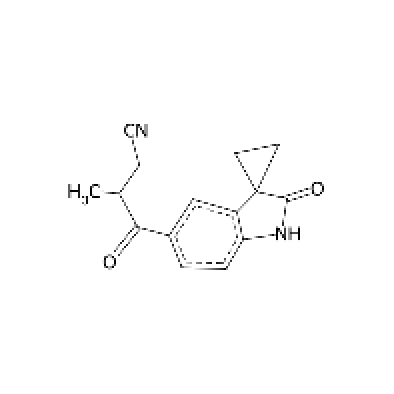 CC(CC#N)C(=O)c1ccc2c(c1)C1(CC1)C(=O)N2